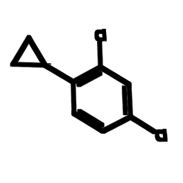 Clc1ccc([C]2CC2)c(Cl)c1